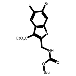 CCOC(=O)c1c(CNC(=O)OC(C)(C)C)sc2cc(Br)c(I)cc12